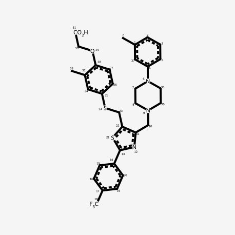 Cc1cccc(N2CCN(Cc3nc(-c4ccc(C(F)(F)F)cc4)sc3CSc3ccc(OCC(=O)O)c(C)c3)CC2)c1